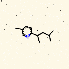 Cc1ccc(C(C)CC(C)C)nc1